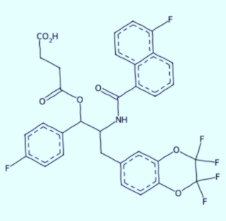 O=C(O)CCC(=O)OC(c1ccc(F)cc1)C(Cc1ccc2c(c1)OC(F)(F)C(F)(F)O2)NC(=O)c1cccc2c(F)cccc12